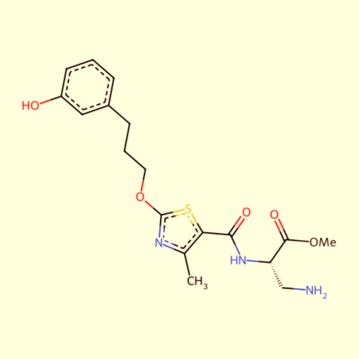 COC(=O)[C@H](CN)NC(=O)c1sc(OCCCc2cccc(O)c2)nc1C